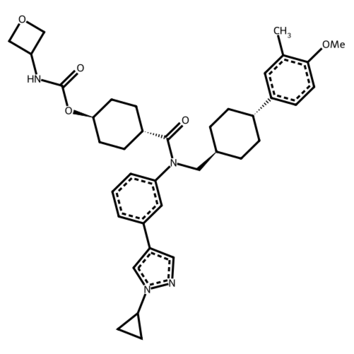 COc1ccc([C@H]2CC[C@H](CN(c3cccc(-c4cnn(C5CC5)c4)c3)C(=O)[C@H]3CC[C@H](OC(=O)NC4COC4)CC3)CC2)cc1C